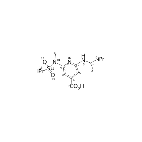 CC(C)C(C)Nc1cc(C(=O)O)cc(N(C)S(=O)(=O)C(C)C)n1